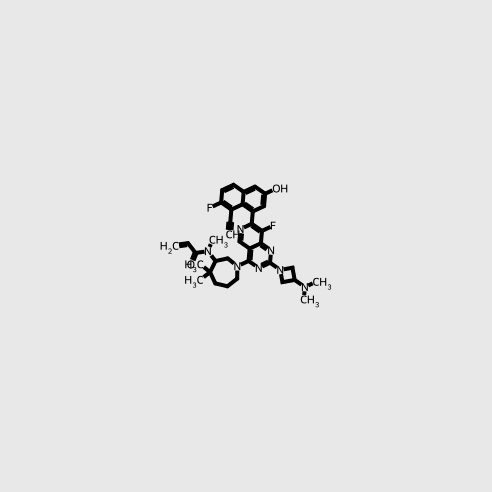 C#Cc1c(F)ccc2cc(O)cc(-c3ncc4c(N5CCCC(C)(C)C(N(C)C(=O)C=C)C5)nc(N5CC(N(C)C)C5)nc4c3F)c12